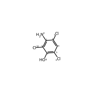 Nc1c(Cl)cc(Cl)c(O)c1Cl